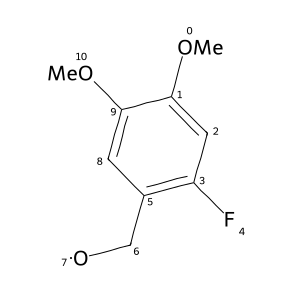 COc1cc(F)c(C[O])cc1OC